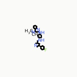 CN(C)c1cc(N[C@H]2CC[C@@H](NCc3cncc(-c4ccc(F)cc4)c3)CC2)nc2ccccc12